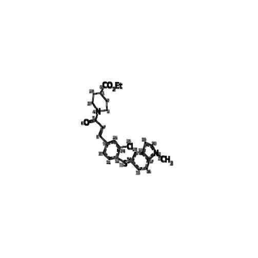 CCOC(=O)C1CCN(C(=O)C=Cc2ccc(Sc3ccc4c(ccn4C)c3)c(Cl)c2)CC1